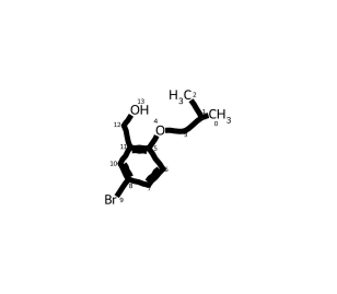 CC(C)COc1ccc(Br)cc1CO